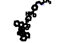 C/C=C\C=C/c1ccc(C(=O)NC2CCN(C(=O)c3cc4ccccc4cc3C(=O)C(c3cccc4ccccc34)P(=O)(O)O)CC2)cc1